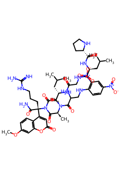 COc1ccc2c([C@](CCCNC(=N)N)(C(N)=O)N(C(C)=O)C(=O)[C@H](C)N(C(=O)C(N)CNc3ccc([N+](=O)[O-])cc3[N+](=O)[O-])C(=O)[C@H](CC(C)C)NC(=O)CNC(=O)[C@H](CC(C)C)NC(=O)[C@@H]3CCCN3)cc(=O)oc2c1